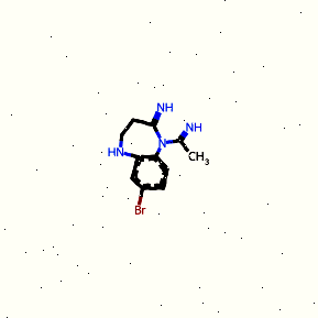 CC(=N)N1C(=N)CCNc2cc(Br)ccc21